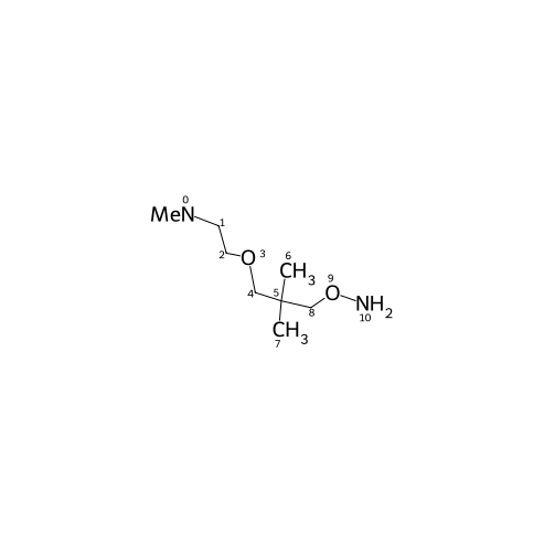 CNCCOCC(C)(C)CON